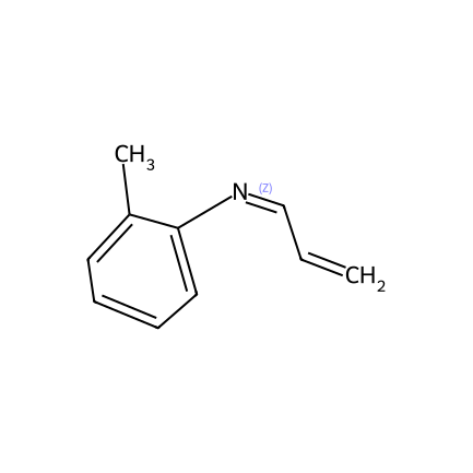 C=C/C=N\c1ccccc1C